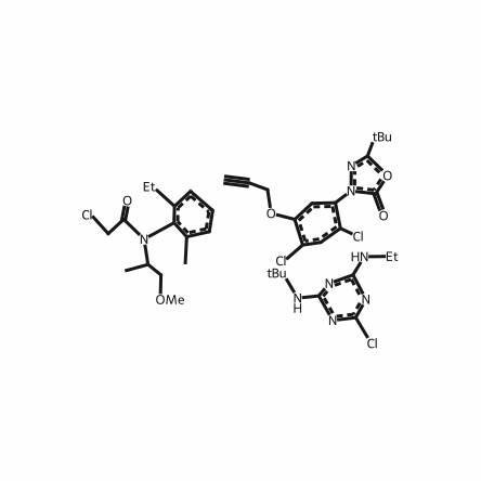 C#CCOc1cc(-n2nc(C(C)(C)C)oc2=O)c(Cl)cc1Cl.CCNc1nc(Cl)nc(NC(C)(C)C)n1.CCc1cccc(C)c1N(C(=O)CCl)C(C)COC